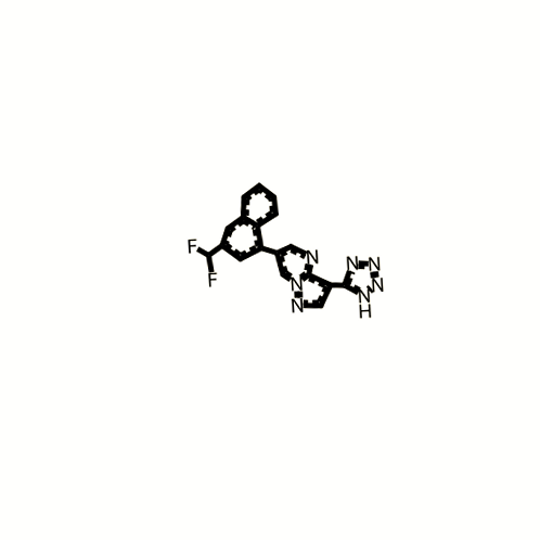 FC(F)c1cc(-c2cnc3c(-c4nnn[nH]4)cnn3c2)c2ccccc2c1